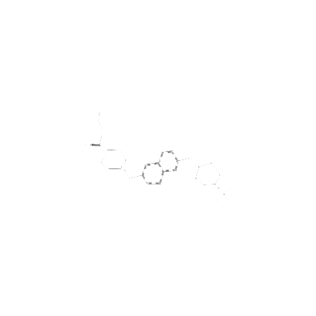 CCOC(=O)C1CCN(Cc2ccc3cc(O[C@H]4CC[C@H]([Si](C)(C)C)CC4)ccc3c2)CC1